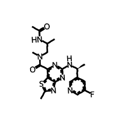 CC(=O)NC(C)CN(C)C(=O)c1nc(N[C@@H](C)c2cncc(F)c2)nc2nc(C)sc12